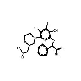 CCc1c(C#N)c(SC(C(N)=O)c2ccccc2)nc(N2CCOC(CN(CC)CC)C2)c1C#N